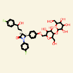 O=C1[C@H](CCC(O)c2ccc(F)cc2)[C@@H](c2ccc(OCC3OC(CO)C(OC4OC(CO)C(O)C(O)C4O)C(O)C3O)cc2)N1c1ccc(F)cc1